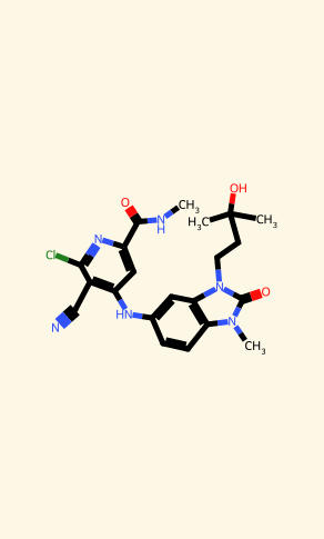 CNC(=O)c1cc(Nc2ccc3c(c2)n(CCC(C)(C)O)c(=O)n3C)c(C#N)c(Cl)n1